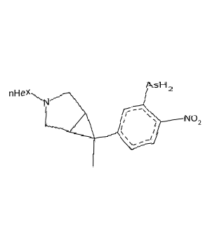 CCCCCCN1CC2C(C1)C2(C)c1ccc([N+](=O)[O-])c([AsH2])c1